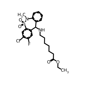 CCOC(=O)CCCCCCNC1c2ccccc2N(C)S(=O)(=O)c2cc(Cl)c(F)cc21